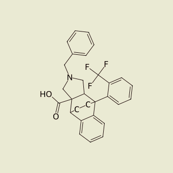 O=C(O)C12CN(Cc3ccccc3)CC1C1(c3ccccc3C(F)(F)F)CCC2c2ccccc21